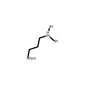 CCCCCCC[CH2][SnH]([CH](C)C)[CH](C)C